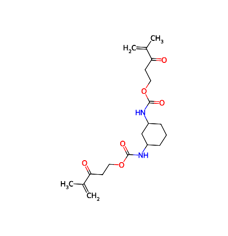 C=C(C)C(=O)CCOC(=O)NC1CCCC(NC(=O)OCCC(=O)C(=C)C)C1